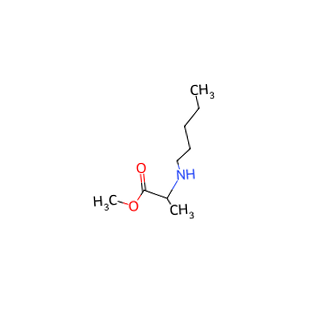 CCCCCNC(C)C(=O)OC